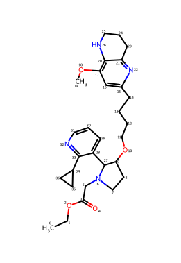 CCOC(=O)CN1CCC(OCCCCc2cc(OC)c3c(n2)CCCN3)C1c1cccnc1C1CC1